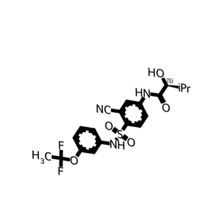 CC(C)[C@H](O)C(=O)Nc1ccc(S(=O)(=O)Nc2cccc(OC(C)(F)F)c2)c(C#N)c1